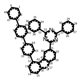 c1ccc(-c2ccc(-c3ccc(-c4cccc5sc6ccc(-c7nc(-c8ccccc8)nc(-c8ccccc8)n7)cc6c45)cc3)cc2)cc1